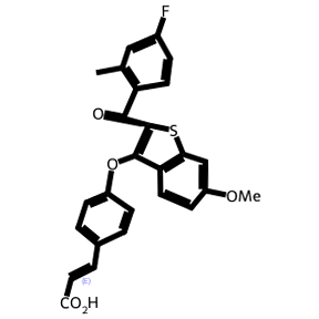 COc1ccc2c(Oc3ccc(/C=C/C(=O)O)cc3)c(C(=O)c3ccc(F)cc3C)sc2c1